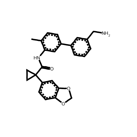 Cc1ccc(-c2cccc(CN)c2)cc1NC(=O)C1(c2ccc3c(c2)OCO3)CC1